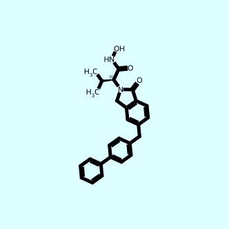 CC(C)[C@@H](C(=O)NO)N1Cc2cc(Cc3ccc(-c4ccccc4)cc3)ccc2C1=O